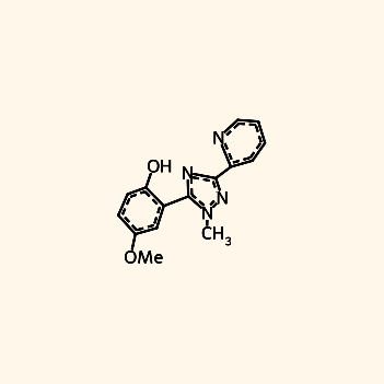 COc1ccc(O)c(-c2nc(-c3ccccn3)nn2C)c1